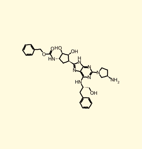 N[C@@H]1CCN(c2nc(N[C@H](CO)Cc3ccccc3)c3nc([C@H]4C[C@H](NC(=O)OCc5ccccc5)[C@@H](O)[C@H]4O)[nH]c3n2)C1